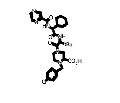 CC(C)(C)C(NC(=O)C(NC(=O)c1cnccn1)C1CCCCC1)C(=O)N1CCN(Cc2ccc(Cl)cc2)C(C(=O)O)C1